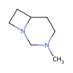 CN1CCC2CCN2C1